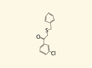 O=C(CSCc1ccccc1)c1cccc(Cl)c1